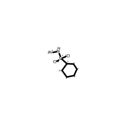 CC(C)N[Si](Cl)(Cl)C1CCCCC1